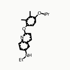 CCNc1ccc2nc(Oc3ccc(OC(C)C)c(C)c3C)ccc2c1